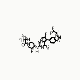 [2H]C([2H])([2H])C(=O)N1CC[C@H](Nc2nc(OC)c3c(-c4ccc5nnn([C@@H](C)C(F)F)c5c4)c(F)cn3n2)[C@H](F)C1